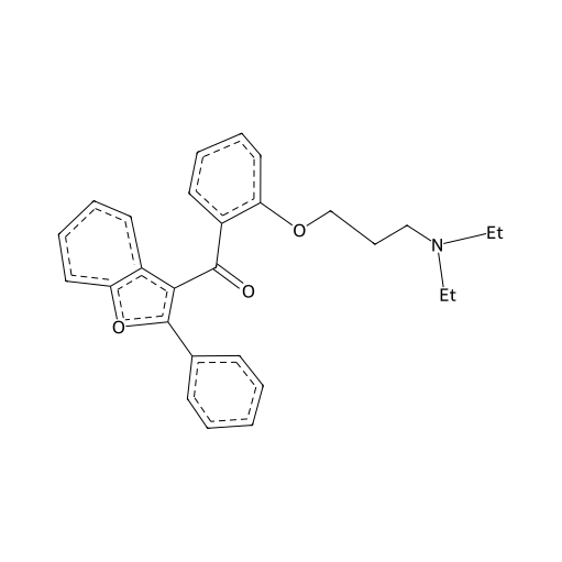 CCN(CC)CCCOc1ccccc1C(=O)c1c(-c2ccccc2)oc2ccccc12